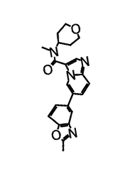 Cc1nc2cc(-c3ccc4ncc(C(=O)N(C)C5CCOCC5)n4c3)ccc2o1